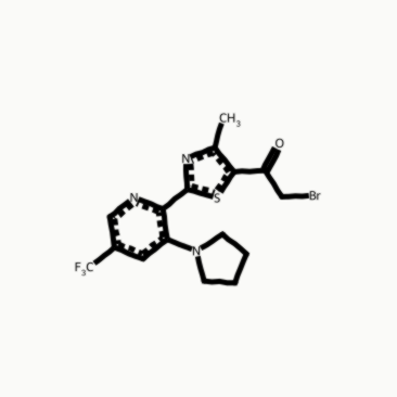 Cc1nc(-c2ncc(C(F)(F)F)cc2N2CCCC2)sc1C(=O)CBr